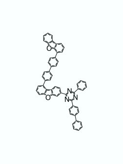 c1ccc(-c2ccc(-c3nc(-c4ccccc4)nc(-c4ccc5c(c4)oc4cccc(-c6ccc(-c7ccc(-c8cccc9c8oc8ccccc89)cc7)cc6)c45)n3)cc2)cc1